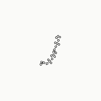 c1cc(-c2ccc3oc4ccccc4c3c2)cc(-c2c3ccccc3c(-c3cccc(-c4cccc5cc(-c6cccc7c6oc6ccc(-c8ccc(-c9c%10ccccc%10c(-c%10cccc(-c%11cccc%12ccc%13ccccc%13c%11%12)c%10)c%10ccccc9%10)cc8)cc67)c6ccccc6c45)c3)c3ccccc23)c1